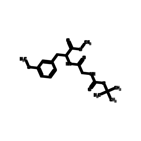 COC(=O)C(Cc1cccc(OC)c1)NC(=O)CNC(=O)OC(C)(C)C